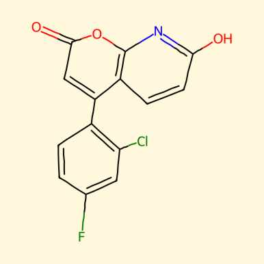 O=c1cc(-c2ccc(F)cc2Cl)c2ccc(O)nc2o1